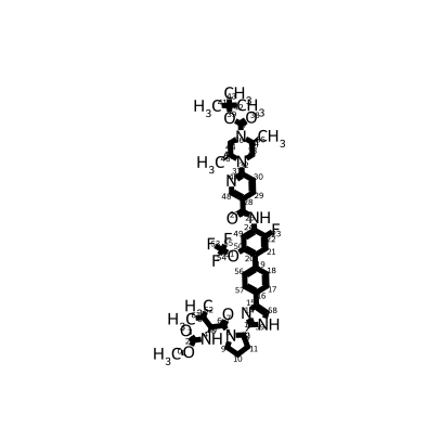 COC(=O)N[C@H](C(=O)N1CCC[C@H]1c1nc(-c2ccc(-c3cc(F)c(NC(=O)c4ccc(N5C[C@H](C)N(C(=O)OC(C)(C)C)C[C@H]5C)nc4)cc3OC(F)(F)F)cc2)c[nH]1)C(C)C